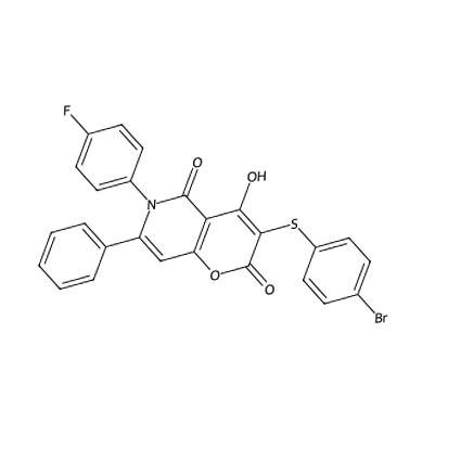 O=c1oc2cc(-c3ccccc3)n(-c3ccc(F)cc3)c(=O)c2c(O)c1Sc1ccc(Br)cc1